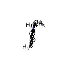 COc1ccc(OC(=O)C2CCC(C(=O)Oc3ccc(/C=C/C(=O)OC(C)(C)C)cc3)CC2)cc1